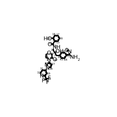 Nc1noc2cc(CC(O)(CNC(=O)c3ccccc3O)[C@H]3OCCN(c4ccn(-c5ccnc(C(F)(F)F)c5)n4)C3=O)ccc12